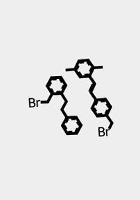 BrCc1ccccc1CCc1ccccc1.Cc1ccc(C)c(C=Cc2ccc(CBr)cc2)c1